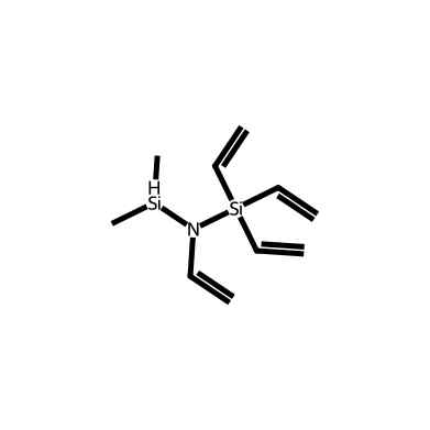 C=CN([SiH](C)C)[Si](C=C)(C=C)C=C